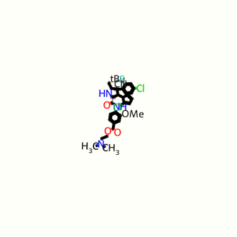 COc1cc(C(=O)OCCN(C)C)ccc1NC(=O)[C@@H]1NC(CC(C)(C)C)[C@](C#N)(c2ccc(Cl)cc2F)C1C1C=CC=C1Cl